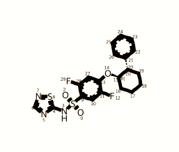 O=S(=O)(Nc1ncns1)c1cc(F)c(O[C@@H]2CCCC[C@H]2c2ccccc2)cc1F